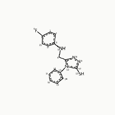 Fc1ccc(NCc2nnc(S)n2-c2ccccc2)cc1